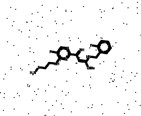 CO/C(=C/C(=N)c1ncc(F)c(NCCSN)n1)NCc1ccccc1F